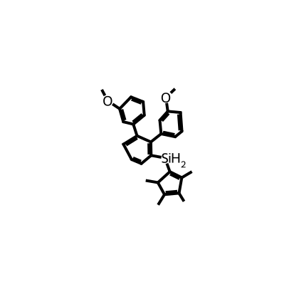 COc1cccc(-c2cccc([SiH2]C3=C(C)C(C)=C(C)C3C)c2-c2cccc(OC)c2)c1